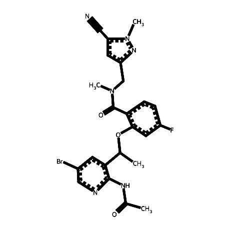 CC(=O)Nc1ncc(Br)cc1C(C)Oc1cc(F)ccc1C(=O)N(C)Cc1cc(C#N)n(C)n1